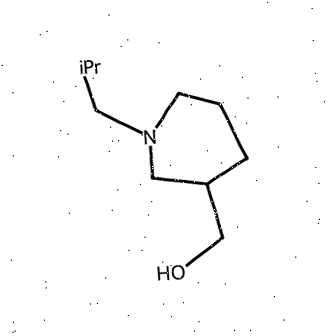 CC(C)CN1CCCC(CO)C1